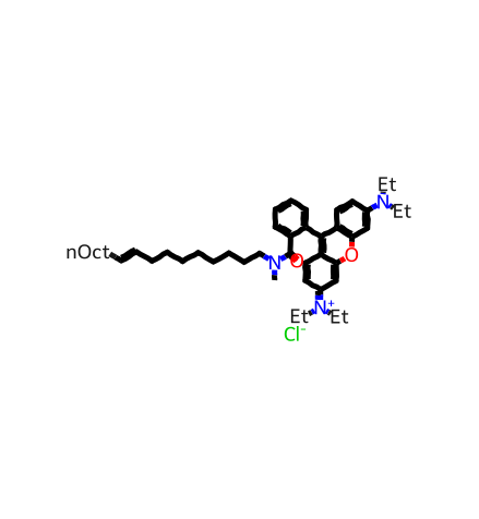 CCCCCCCCC=CCCCCCCCCN(C)C(=O)c1ccccc1-c1c2ccc(=[N+](CC)CC)cc-2oc2cc(N(CC)CC)ccc12.[Cl-]